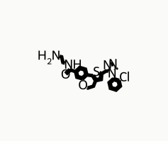 NCCNC(=O)c1ccc2c(c1)OCCc1cc(-c3nncn3-c3ccccc3Cl)sc1-2